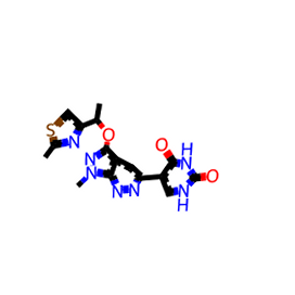 Cc1nc(C(C)Oc2nn(C)c3nnc(-c4c[nH]c(=O)[nH]c4=O)cc23)cs1